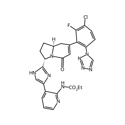 CCOC(=O)Nc1ncccc1-c1c[nH]c([C@@H]2CC[C@H]3CC(c4c(-n5cnnn5)ccc(Cl)c4F)=CC(=O)N32)n1